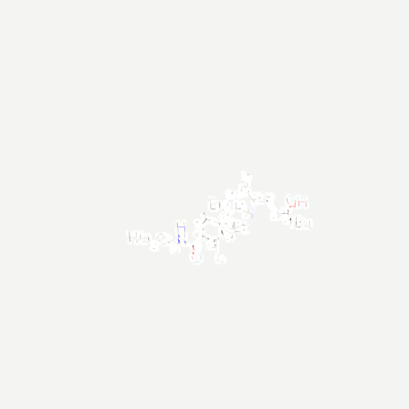 CCC(CC)(c1ccc(C(=O)NCC(=O)O)c(C)c1)C1CC(C)=C(CCC(O)C(C)(C)C)S1